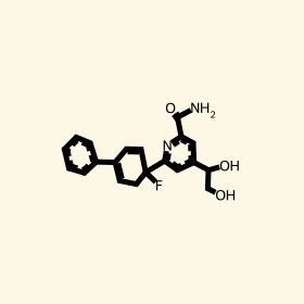 NC(=O)c1cc(C(O)CO)cc(C2(F)C=CC(c3ccccc3)=CC2)n1